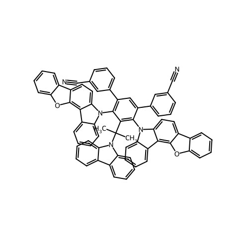 CC(C)(c1c(-n2c3ccccc3c3c4oc5ccccc5c4ccc32)c(-c2cccc(C#N)c2)cc(-c2cccc(C#N)c2)c1-n1c2ccccc2c2c3oc4ccccc4c3ccc21)n1c2ccccc2c2ccccc21